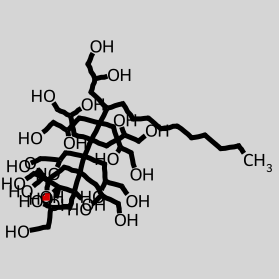 CCCCCCCCCCC(CC(O)CO)C(CC(O)CO)(CC(O)CO)C(CC(O)CO)(CC(O)CO)C(CC(O)CO)(CC(O)CO)C(CC(O)CO)(CC(O)CO)C(O)(CC(O)CO)C(O)(O)C(=O)O